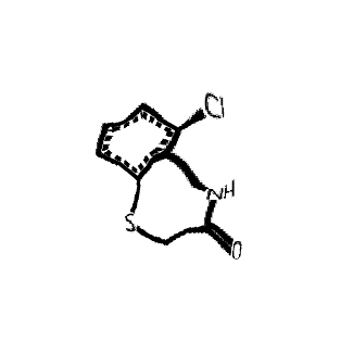 O=C1CSc2cccc(Cl)c2N1